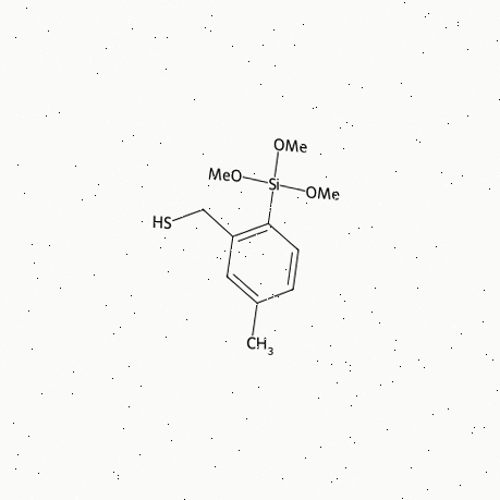 CO[Si](OC)(OC)c1ccc(C)cc1CS